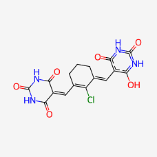 O=C1NC(=O)C(=CC2=C(Cl)/C(=C/c3c(O)[nH]c(=O)[nH]c3=O)CCC2)C(=O)N1